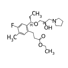 CCOC(=O)CCc1cc(C)c(F)cc1[C@@H](CC)OC[C@H](O)CN1CCCC1